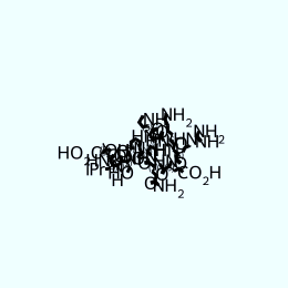 CC(C)C[C@H](NC(=O)[C@H](CO)NC(=O)[C@@H]1CCCN1C(=O)[C@@H]1CCCN1C(=O)[C@H](CCC(N)=O)NC(=O)[C@H](CCC(=O)O)NC(=O)[C@H](CCCNC(=N)N)NC(=O)[C@H](CCCCN)NC(=O)[C@H](C)NC(=O)[C@@H]1CCCN1)C(=O)N[C@H](C(=O)O)[C@@H](C)O